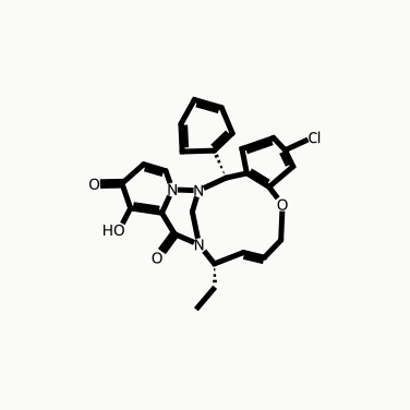 CC[C@H]1/C=C/COc2cc(Cl)ccc2[C@@H](c2ccccc2)N2CN1C(=O)c1c(O)c(=O)ccn12